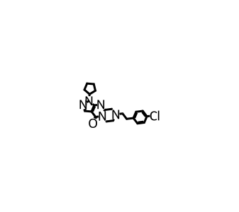 O=c1c2cnn(C3CCCC3)c2nc2n1CCN(CCc1ccc(Cl)cc1)C2